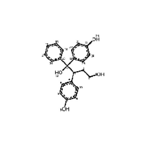 OCCC(c1ccc(O)cc1)C(O)(c1ccccc1)c1ccc(O)cc1